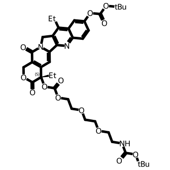 CCc1c2c(nc3ccc(OC(=O)OC(C)(C)C)cc13)-c1cc3c(c(=O)n1C2)COC(=O)[C@@]3(CC)OC(=O)OCCOCCOCCNC(=O)OC(C)(C)C